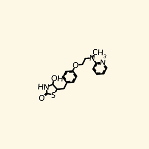 CN(CCOc1ccc(CC2SC(=O)NC2O)cc1)c1ccccn1